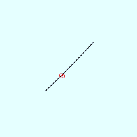 CCCCCCCC/C=C/CCCCCCCCOC(=O)CCCCCCCCCCCCCCCCCCCCCCCCCCCCCCCCCCCC